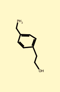 OCCc1ccc(CP)cc1